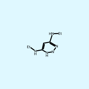 CCNC1=CC(NCC)=N[N]N1